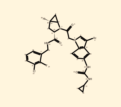 CC(=O)c1cn(CC(=O)N2C3C[C@@H]3C[C@H]2C(=O)NCc2cccc(Cl)c2F)c2ccc(NC(=O)NC3CC3)cc12